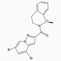 C[C@@H]1c2ccccc2CCN1C(=O)c1cc2c(Br)cc(Br)cn2n1